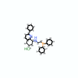 Cl.c1ccc(-c2ccc3c(n2)C(NCCP(c2ccccc2)c2ccccc2)CCC3)cc1